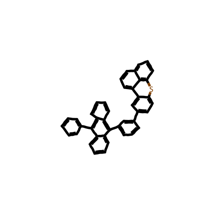 c1ccc(-c2c3ccccc3c(-c3cccc(-c4ccc5c(c4)-c4cccc6cccc(c46)S5)c3)c3ccccc23)cc1